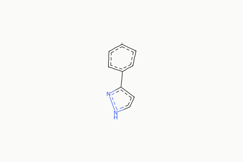 [c]1ccc(-c2cc[nH]n2)cc1